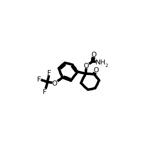 NC(=O)OC1(c2cccc(OC(F)(F)F)c2)CCCCC1=O